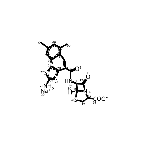 Cc1cc(C)c(C=C(C(=O)NC2C(=O)N3C(C(=O)[O-])CS[C@H]23)c2csc(N)n2)c(C)c1.[Na+]